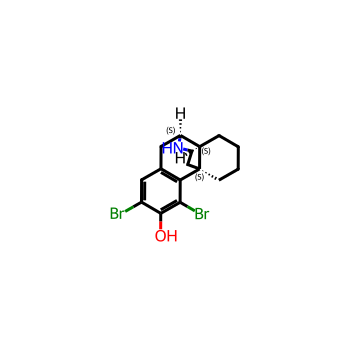 Oc1c(Br)cc2c(c1Br)[C@]13CCCC[C@@H]1[C@H](C2)NCC3